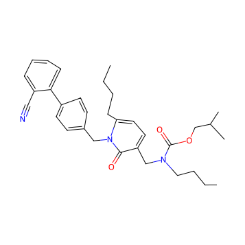 CCCCc1ccc(CN(CCCC)C(=O)OCC(C)C)c(=O)n1Cc1ccc(-c2ccccc2C#N)cc1